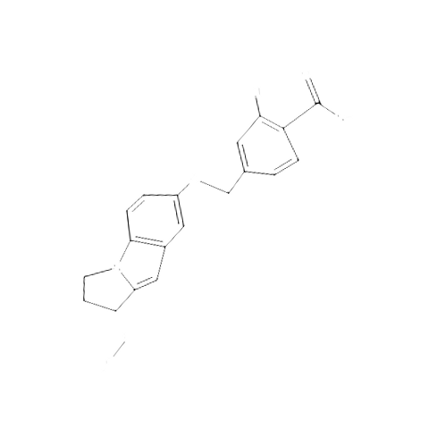 NC(=O)c1ccc(COc2ccc3c(c2)cc2n3CC[C@H]2CC(=O)O)cc1C(F)(F)F